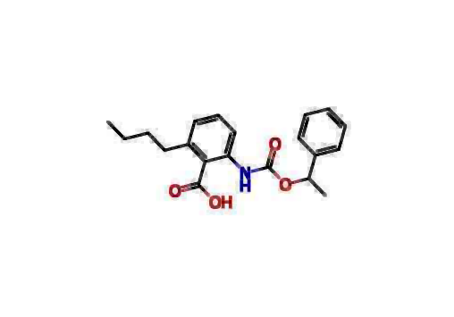 CCCCc1cccc(NC(=O)OC(C)c2ccccc2)c1C(=O)O